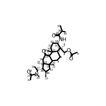 CC(=O)OC[C@@]1(C)C2CCC3[C@]4(C)C[C@@H](C)[C@H](C(C)N(C)C(C)=O)[C@@]4(C)CC(=O)[C@]34CC24CC[C@@H]1NC(=O)C(C)C